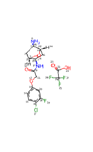 N[C@@H]1C[C@@H]2O[C@H]1C[C@H]2NC(=O)COc1ccc(Cl)c(F)c1.O=C(O)C(F)(F)F